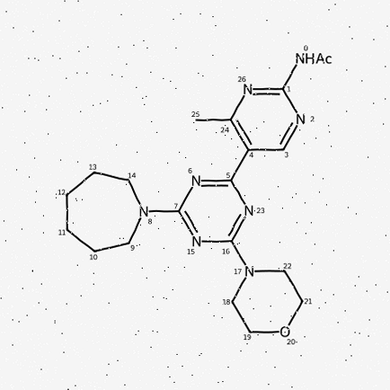 CC(=O)Nc1ncc(-c2nc(N3CCCCCC3)nc(N3CCOCC3)n2)c(C)n1